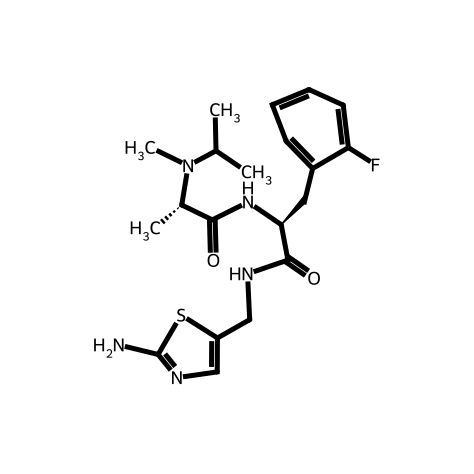 CC(C)N(C)[C@@H](C)C(=O)N[C@@H](Cc1ccccc1F)C(=O)NCc1cnc(N)s1